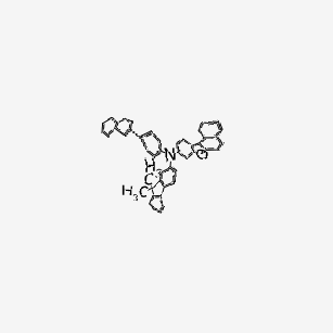 CC1(C)c2ccccc2-c2ccc(N(c3ccc(-c4ccc5ccccc5c4)cc3)c3ccc4c(c3)oc3ccc5ccccc5c34)cc21